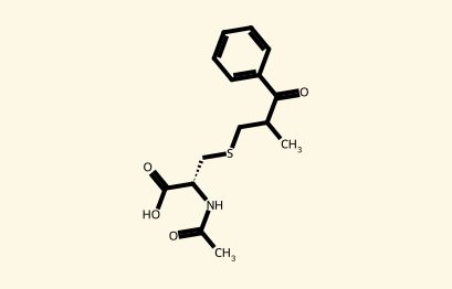 CC(=O)N[C@@H](CSCC(C)C(=O)c1ccccc1)C(=O)O